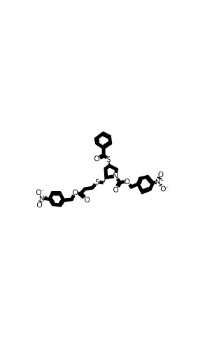 O=C(CCSC[C@@H]1C[C@H](SC(=O)c2ccccc2)CN1C(=O)OCc1ccc([N+](=O)[O-])cc1)OCc1ccc([N+](=O)[O-])cc1